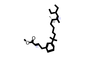 CCC(/C=C(/C)[C@@H](C)CCCCC(C)(C)c1cccc(C/C=C/C(=O)OC)c1)CC